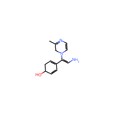 CC1=NC=CN(/C(=C\N)C2=CCC(O)C=C2)C1